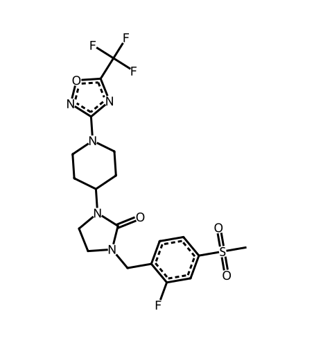 CS(=O)(=O)c1ccc(CN2CCN(C3CCN(c4noc(C(F)(F)F)n4)CC3)C2=O)c(F)c1